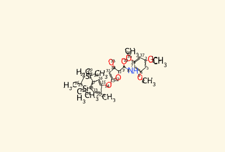 COc1cc(OC)c(NC(=O)C2OC(Oc3cc4c(cc3C)[Si](C)(C)C(C)C[Si]4(C)C)=CC2=O)c(OC)c1